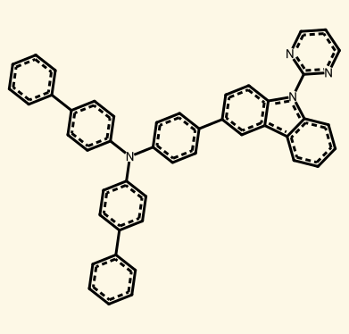 c1ccc(-c2ccc(N(c3ccc(-c4ccccc4)cc3)c3ccc(-c4ccc5c(c4)c4ccccc4n5-c4ncccn4)cc3)cc2)cc1